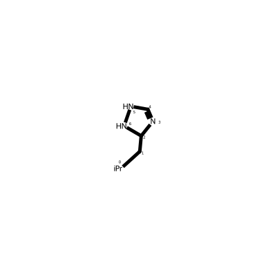 CC(C)CC1N=CNN1